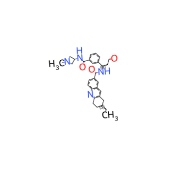 CC[C@H]1CCc2nc3ccc(C(=O)N[C@H](CC=O)c4cccc(C(=O)NC5CN(C)C5)c4)cc3cc2C1